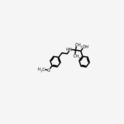 COc1ccc(CCNC(C)(C)C(O)c2ccccc2)cc1